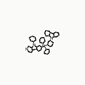 c1ccc(-n2c3cnccc3c3ccc([Si](c4ccccc4)(c4ccccc4)c4cccc(-n5c6ccccc6c6ccccc65)c4)cc32)cc1